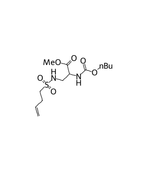 C=CCCS(=O)(=O)NCC(NC(=O)OCCCC)C(=O)OC